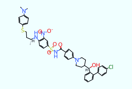 C[C@H](CCSc1ccc(N(C)C)cc1)Nc1ccc(S(=O)(=O)NC(=O)c2ccc(N3CCC([C@@H](O)c4ccccc4-c4ccc(Cl)cc4)CC3)cc2)cc1[N+](=O)[O-]